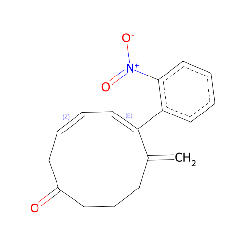 C=C1CCCC(=O)C/C=C\C=C/1c1ccccc1[N+](=O)[O-]